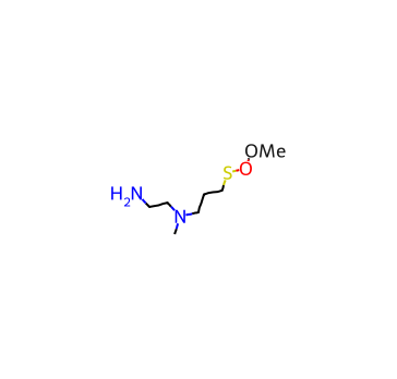 COOSCCCN(C)CCN